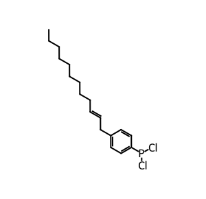 CCCCCCCCCC=CCc1ccc(P(Cl)Cl)cc1